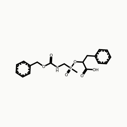 CP(=O)(CNC(=O)OCc1ccccc1)OC(Cc1ccccc1)C(=O)O